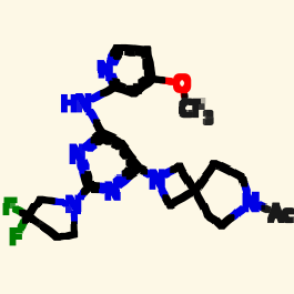 CC(=O)N1CCC2(CC1)CN(c1cc(Nc3cc(OC(F)(F)F)ccn3)nc(N3CCC(F)(F)C3)n1)C2